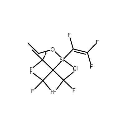 CCO[Si](Cl)(C(F)=C(F)F)C(C(C)(F)F)(C(F)(F)F)C(F)(F)F